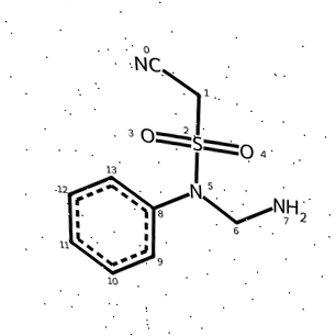 N#CCS(=O)(=O)N(CN)c1ccccc1